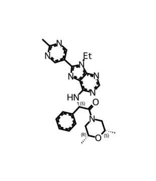 CCn1c(-c2cnc(C)nc2)nc2c(N[C@H](C(=O)N3C[C@@H](C)O[C@@H](C)C3)c3ccccc3)ncnc21